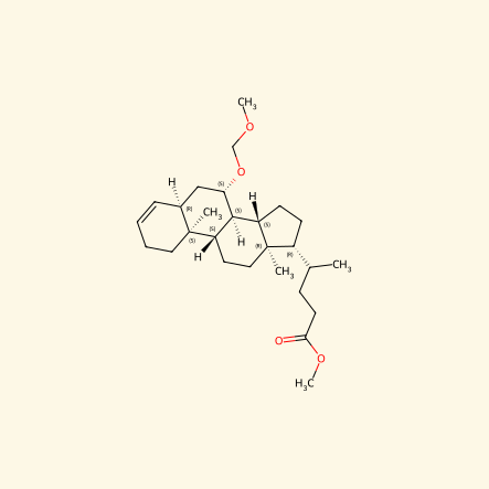 COCO[C@H]1C[C@@H]2C=CCC[C@]2(C)[C@H]2CC[C@]3(C)[C@@H](C(C)CCC(=O)OC)CC[C@H]3[C@H]12